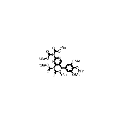 [CH2]CCOc1c(OC)cc(Cc2cnc(N(C(=O)OC(C)(C)C)C(=O)OC(C)(C)C)nc2N(C(=O)OC(C)(C)C)C(=O)OC(C)(C)C)cc1OC